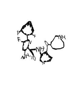 Nc1cc(F)c(-c2c(F)cccc2F)nc1C(=O)Nc1cnccc1OC1CCCNCC1